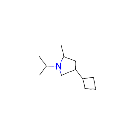 CC(C)N1CC(C2CCC2)CC1C